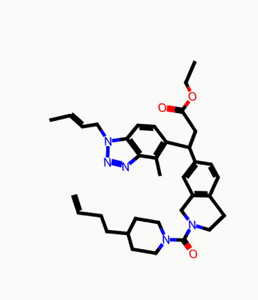 C=CCCC1CCN(C(=O)N2CCc3ccc(C(CC(=O)OCC)c4ccc5c(nnn5C/C=C/C)c4C)cc3C2)CC1